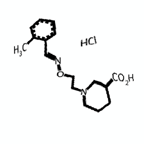 Cc1ccccc1C=NOCCN1CCCC(C(=O)O)C1.Cl